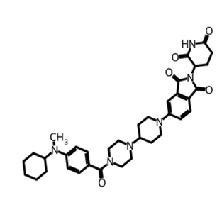 CN(c1ccc(C(=O)N2CCN(C3CCN(c4ccc5c(c4)C(=O)N(C4CCC(=O)NC4=O)C5=O)CC3)CC2)cc1)C1CCCCC1